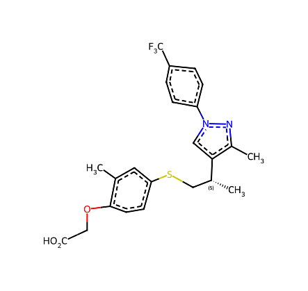 Cc1cc(SC[C@@H](C)c2cn(-c3ccc(C(F)(F)F)cc3)nc2C)ccc1OCC(=O)O